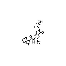 CC(C)(O)C(F)CN1Cc2cc(NC(=O)c3cnn4cccnc34)c(N3CCC3)cc2C1=O